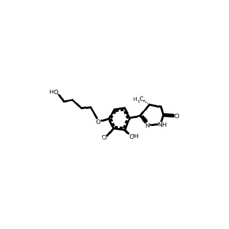 C[C@@H]1CC(=O)NN=C1c1ccc(OCCCCO)c(Cl)c1O